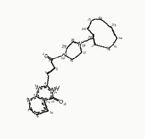 O=C(CCc1nc2ncccc2c(=O)[nH]1)N1CCN(C2CCCCCCCC2)CC1